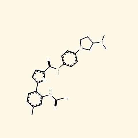 Cc1ccc(-c2ccc(C(=O)Nc3ccc(N4CCC(N(C)C)C4)cc3)o2)c(NC(=O)C(C)C)c1